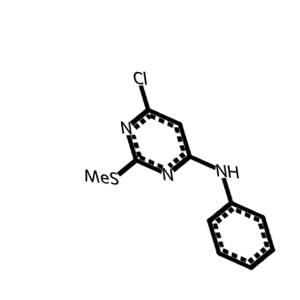 CSc1nc(Cl)cc(Nc2ccccc2)n1